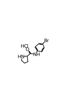 Cl.O=C(Nc1ccc(Br)cc1)C1CCCN1